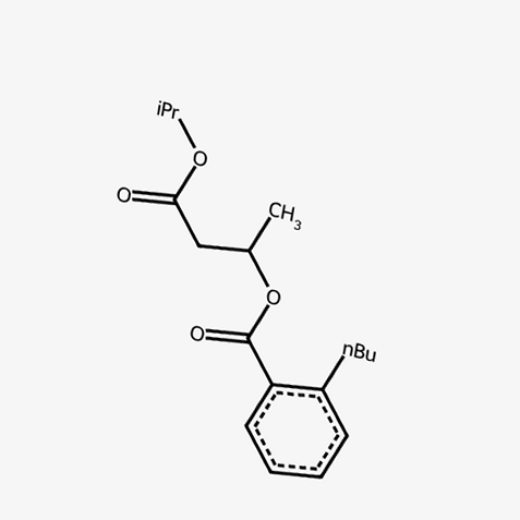 CCCCc1ccccc1C(=O)OC(C)CC(=O)OC(C)C